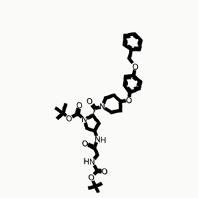 CC(C)(C)OC(=O)NCC(=O)NC1C[C@@H](C(=O)N2CCC(Oc3ccc(OCc4ccccc4)cc3)CC2)N(C(=O)OC(C)(C)C)C1